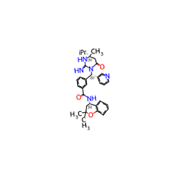 CC(C)[C@]1(C)CC(=O)N([C@H](c2cccnc2)c2cccc(C(=O)N[C@H]3CC(C)(C)Oc4ccccc43)c2)C(=N)N1